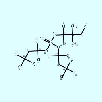 CC(C)(CCl)C(Cl)(Br)OP(=O)(OC(Cl)(Cl)CC(Cl)(Cl)Br)OC(Cl)(Cl)CC(Cl)(Cl)Br